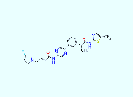 C[C@H](C(=O)Nc1ncc(C(F)(F)F)s1)c1cccc(-c2cnc(NC(=O)/C=C/CN3CC[C@@H](F)C3)cn2)c1